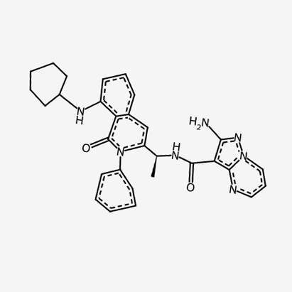 C[C@H](NC(=O)c1c(N)nn2cccnc12)c1cc2cccc(NC3CCCCC3)c2c(=O)n1-c1ccccc1